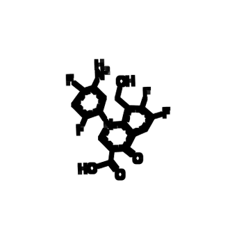 Nc1cc(-n2cc(C(=O)O)c(=O)c3cc(F)c(F)c(CO)c32)c(F)cc1F